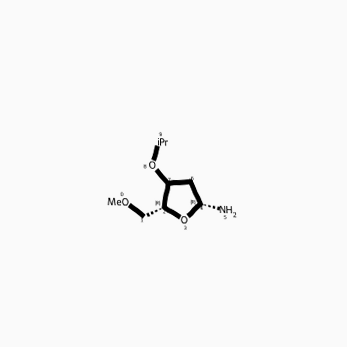 COC[C@H]1O[C@@H](N)CC1OC(C)C